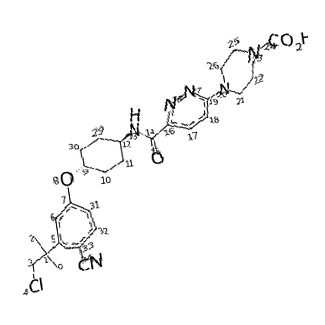 CC(C)(CCl)c1cc(O[C@H]2CC[C@H](NC(=O)c3ccc(N4CCN(C(=O)O)CC4)nn3)CC2)ccc1C#N